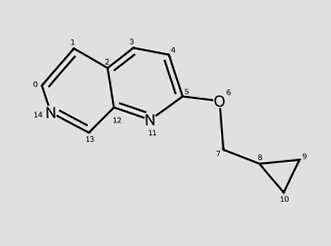 c1cc2ccc(OCC3CC3)nc2cn1